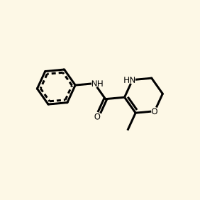 CC1=C(C(=O)Nc2ccccc2)NCCO1